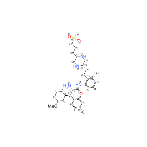 COC1CCCC([C@H](c2ccc(Cl)cc2)[C@H](N)C(=O)Nc2cccc(F)c2CC[C@H]2CNC(CCCS(C)(=O)=O)CN2)C1